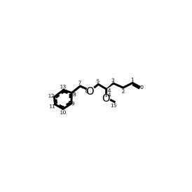 C=CCC[C@H](COCc1ccccc1)OC